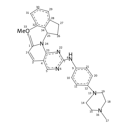 C=C1C=Cc2cnc(Nc3ccc(N4CCN(C)CC4)cc3)nc2N1C1CCc2cccc(OC)c21